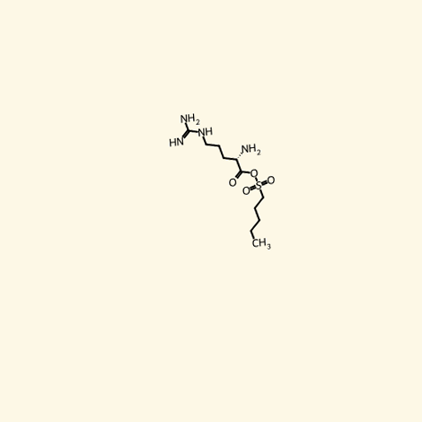 CCCCCS(=O)(=O)OC(=O)[C@@H](N)CCCNC(=N)N